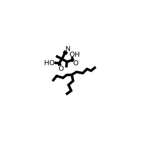 CC(C(=O)O)C(C)(C#N)C(=O)O.CCCCCC(CCCC)CCCC